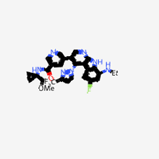 CCNc1cc(F)cc2c1[nH]c1ncc(-c3cncc(C(=O)NC4(COC)CC4)c3)c(-n3ccc(C(F)(F)F)n3)c12